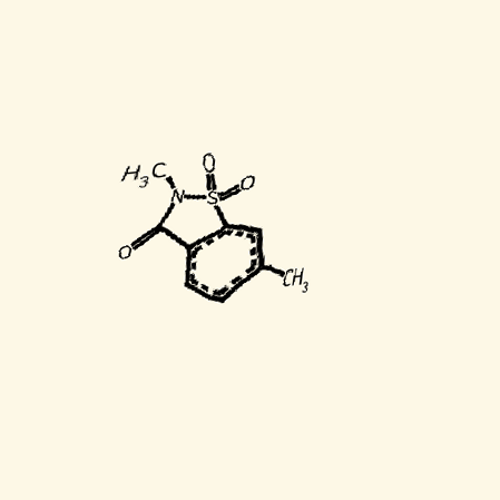 Cc1ccc2c(c1)S(=O)(=O)N(C)C2=O